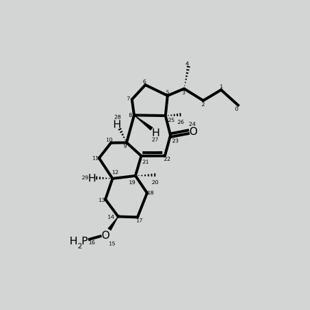 CCC[C@@H](C)C1CC[C@H]2[C@@H]3CC[C@@H]4C[C@H](OP)CC[C@]4(C)C3=CC(=O)[C@]12C